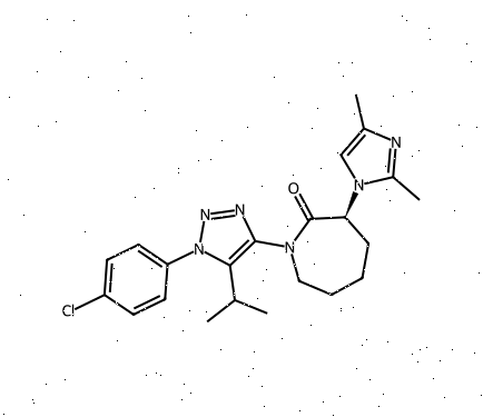 Cc1cn([C@H]2CCCCN(c3nnn(-c4ccc(Cl)cc4)c3C(C)C)C2=O)c(C)n1